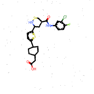 O=C(O)CC1CCC(c2ccc(C3CC(C(=O)Nc4ccc(F)c(Cl)c4)CSN3)s2)CC1